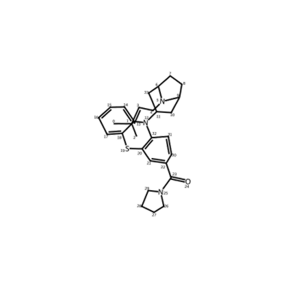 CC(C)=CCN1C2CCC1CC(N1c3ccccc3Sc3cc(C(=O)N4CCCC4)ccc31)C2